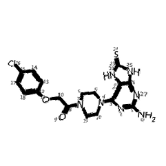 Nc1nc(N2CCN(C(=O)COc3ccc(Cl)cc3)CC2)c2[nH]c(=S)[nH]c2n1